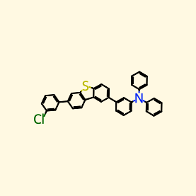 Clc1cccc(-c2ccc3c(c2)sc2ccc(-c4cccc(N(c5ccccc5)c5ccccc5)c4)cc23)c1